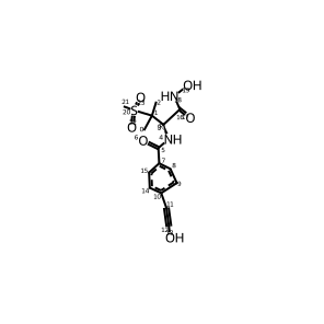 CC(C)([C@H](NC(=O)c1ccc(C#CO)cc1)C(=O)NO)S(C)(=O)=O